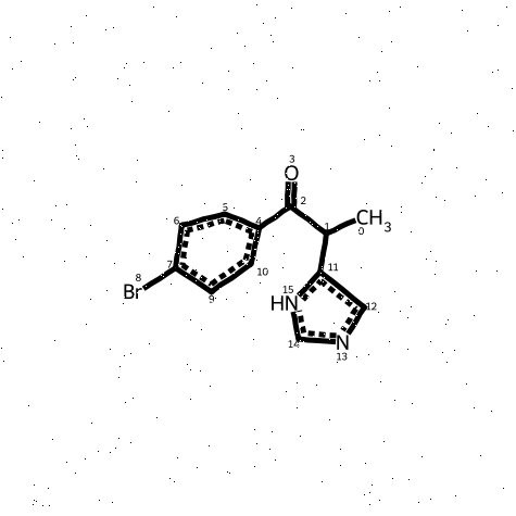 CC(C(=O)c1ccc(Br)cc1)c1cnc[nH]1